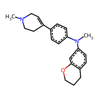 CN1CC=C(c2ccc(N(C)c3ccc4c(c3)OCCC4)cc2)CC1